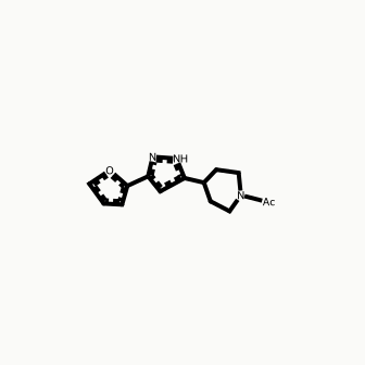 CC(=O)N1CCC(c2cc(-c3ccco3)n[nH]2)CC1